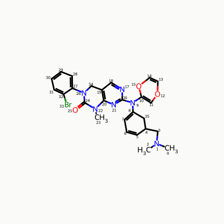 CN(C)CC1C=CC=C(N(C2=COC=CO2)c2ncc3c(n2)N(C)C(=O)N(c2ccccc2Br)C3)C1